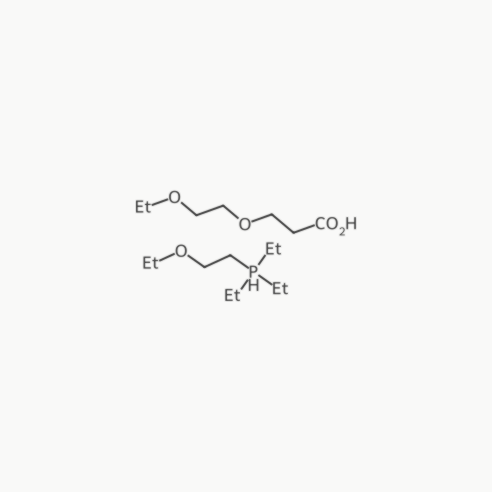 CCOCCOCCC(=O)O.CCOCC[PH](CC)(CC)CC